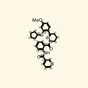 COc1ccc(C2=NN(C(=O)c3ccccc3NC(=O)c3cccnc3)CCC2)c(OC2CCCC2)c1